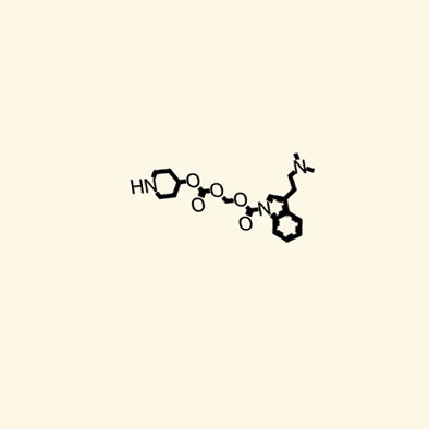 CN(C)CCc1cn(C(=O)OCOC(=O)OC2CCNCC2)c2ccccc12